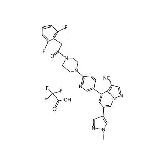 Cn1cc(-c2cc(-c3ccc(N4CCN(C(=O)Cc5c(F)cccc5F)CC4)nc3)c3c(C#N)cnn3c2)cn1.O=C(O)C(F)(F)F